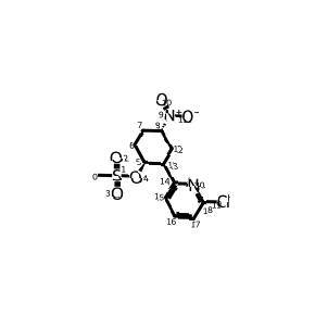 CS(=O)(=O)O[C@H]1CC[C@H]([N+](=O)[O-])CC1c1cccc(Cl)n1